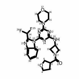 O=C(C1CCOC1)N1CC(Nc2nc(N3CCOCC3)nc(-n3c(C(F)F)nc4ccccc43)n2)C1